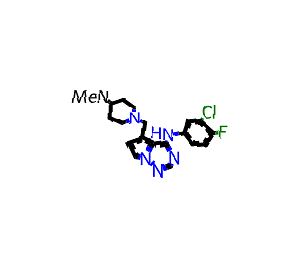 CNC1CCN(Cc2ccn3ncnc(Nc4ccc(F)c(Cl)c4)c23)CC1